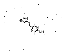 Cc1nc(CCc2c[nH]cn2)c(C)nc1N